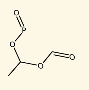 CC(OC=O)OP=O